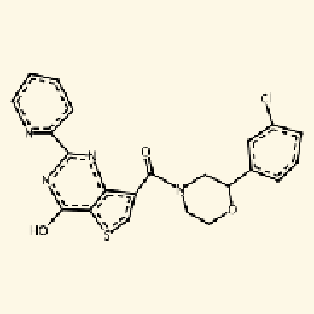 O=C(c1csc2c(O)nc(-c3ccccn3)nc12)N1CCOC(c2cccc(Cl)c2)C1